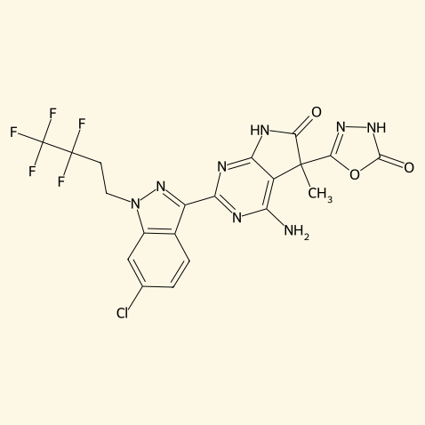 CC1(c2n[nH]c(=O)o2)C(=O)Nc2nc(-c3nn(CCC(F)(F)C(F)(F)F)c4cc(Cl)ccc34)nc(N)c21